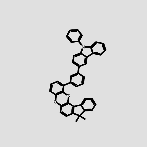 CC1(C)c2ccccc2-c2c1ccc1c2Sc2c(cccc2-c2cccc(-c3ccc4c(c3)c3ccccc3n4-c3ccccc3)c2)O1